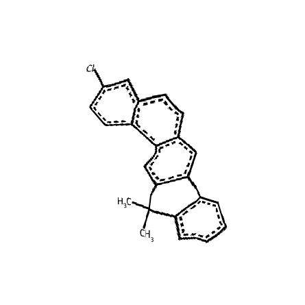 CC1(C)c2ccccc2-c2cc3ccc4cc(Cl)ccc4c3cc21